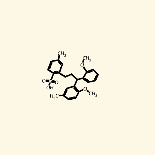 COc1ccccc1C(CCc1cc(C)ccc1S(=O)(=O)O)c1cc(C)ccc1OC